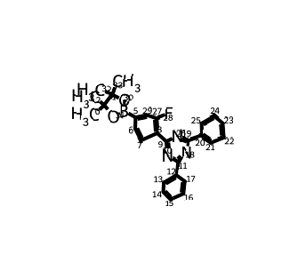 CC1(C)OB(c2ccc(-c3nc(-c4ccccc4)nc(-c4ccccc4)n3)c(F)c2)OC1(C)C